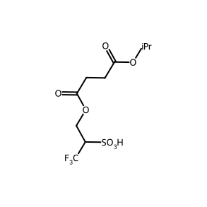 CC(C)OC(=O)CCC(=O)OCC(C(F)(F)F)S(=O)(=O)O